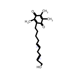 CC1=C(C)C(=O)C(CCCC/C=C/C/C=C/CO)=C(C)C1=O